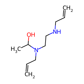 C=CCNCCN(CC=C)C(C)O